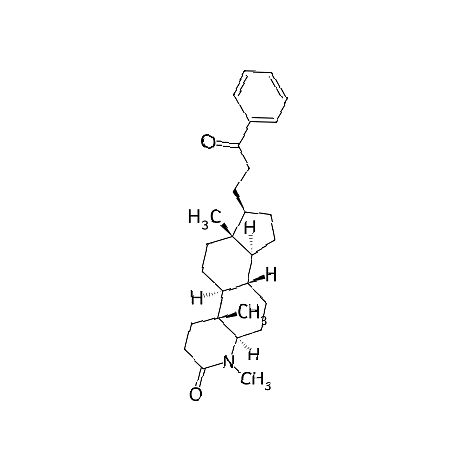 CN1C(=O)CC[C@]2(C)[C@H]3CC[C@]4(C)[C@@H](CCC(=O)c5ccccc5)CC[C@H]4[C@@H]3CC[C@@H]12